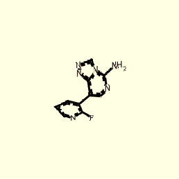 Nc1ncc(-c2cccnc2F)c2nncn12